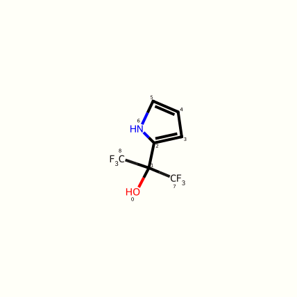 OC(c1ccc[nH]1)(C(F)(F)F)C(F)(F)F